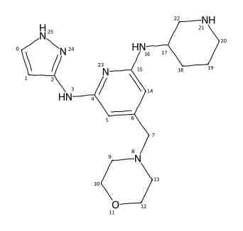 c1cc(Nc2cc(CN3CCOCC3)cc(NC3CCCNC3)n2)n[nH]1